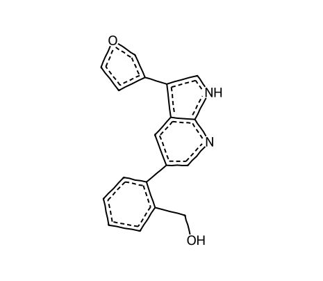 OCc1ccccc1-c1cnc2[nH]cc(-c3ccoc3)c2c1